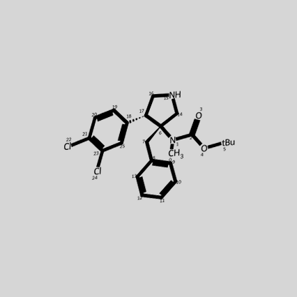 CN(C(=O)OC(C)(C)C)[C@@]1(Cc2ccccc2)CNC[C@H]1c1ccc(Cl)c(Cl)c1